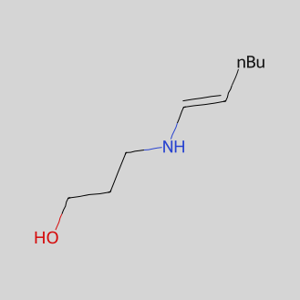 CCCCC=CNCCCO